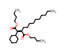 CCCCCCCCCCC(C(=O)OCCCC)=C(C(=O)OCCCC)C1CCCCC1